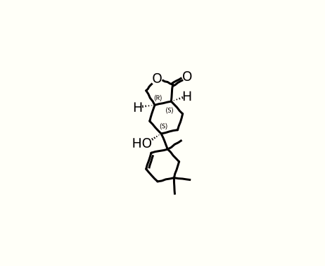 CC1(C)CC=CC(C)([C@]2(O)CC[C@@H]3C(=O)OC[C@@H]3C2)C1